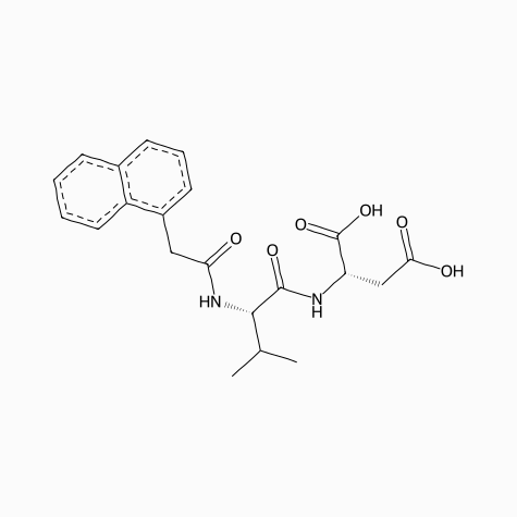 CC(C)[C@H](NC(=O)Cc1cccc2ccccc12)C(=O)N[C@@H](CC(=O)O)C(=O)O